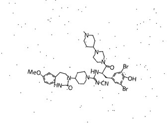 COc1ccc2c(c1)CCN(C1CCN(C(=NC#N)N[C@H](Cc3cc(Br)c(O)c(Br)c3)C(=O)N3CCN(C4CCN(C)CC4)CC3)CC1)C(=O)N2